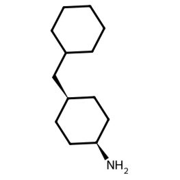 N[C@H]1CC[C@@H](CC2CCCCC2)CC1